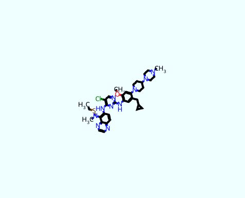 CCSN(C)c1c(Nc2nc(Nc3cc(CC4CC4)c(N4CCC(N5CCN(C)CC5)CC4)cc3OC)ncc2Cl)ccc2nccnc12